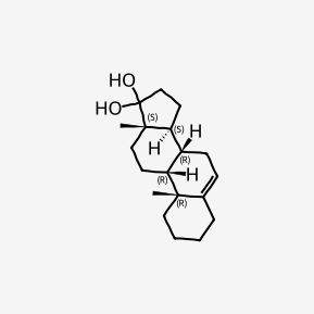 C[C@]12CCCCC1=CC[C@@H]1[C@H]2CC[C@@]2(C)[C@H]1CCC2(O)O